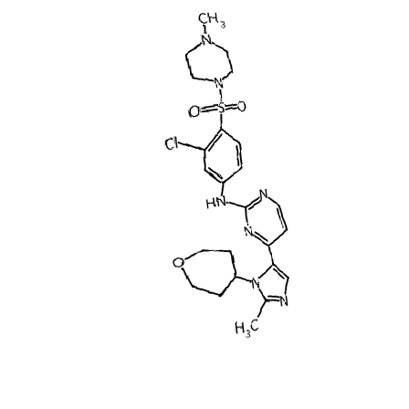 Cc1ncc(-c2ccnc(Nc3ccc(S(=O)(=O)N4CCN(C)CC4)c(Cl)c3)n2)n1C1CCOCC1